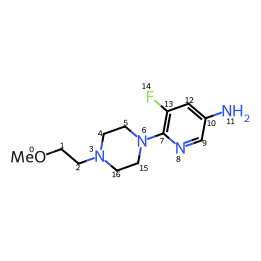 COCCN1CCN(c2ncc(N)cc2F)CC1